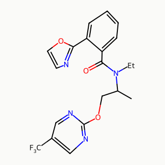 CCN(C(=O)c1ccccc1-c1ncco1)C(C)COc1ncc(C(F)(F)F)cn1